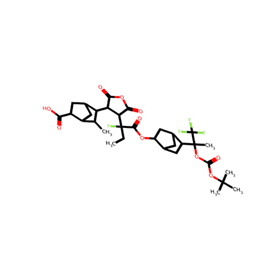 CCC(F)(C(=O)OC1CC2CC1CC2C(C)(OC(=O)OC(C)(C)C)C(F)(F)F)C1C(=O)OC(=O)C1C1C2CC(C(=O)O)C(C2)C1C